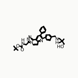 CC(C)(CO)CNCc1ccc(-c2nc3ccn4c(CNC(=O)OC(C)(C)C)nnc4c3cc2-c2ccccc2)cc1